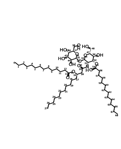 CCCCCCCCCCCCCC(=O)O[C@H](CCCCCCCCCCC)CC(=O)N[C@@H]1[C@@H](O[C@@H]2O[C@H](CO)[C@@H](O)[C@H](O)[C@@H]2O)O[C@H](CO)[C@@H](O)[C@@H]1OC(=O)CCCCCCCCCCCCC